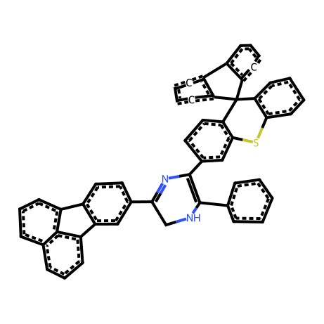 c1ccc(C2=C(c3ccc4c(c3)Sc3ccccc3C43c4ccccc4-c4ccccc43)N=C(c3ccc4c(c3)-c3cccc5cccc-4c35)CN2)cc1